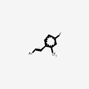 CC(=O)/C=C/c1ccc(F)cc1C(F)(F)F